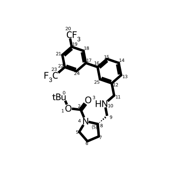 CC(C)(C)OC(=O)N1CCC[C@H]1CNCc1cccc(-c2cc(C(F)(F)F)cc(C(F)(F)F)c2)c1